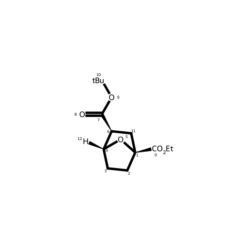 CCOC(=O)[C@@]12CC[C@@H](O1)[C@@H](C(=O)OC(C)(C)C)C2